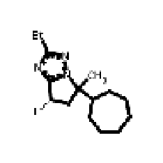 CCc1nc2n(n1)C(C)(C1CCCCCC1)C[C@@H]2F